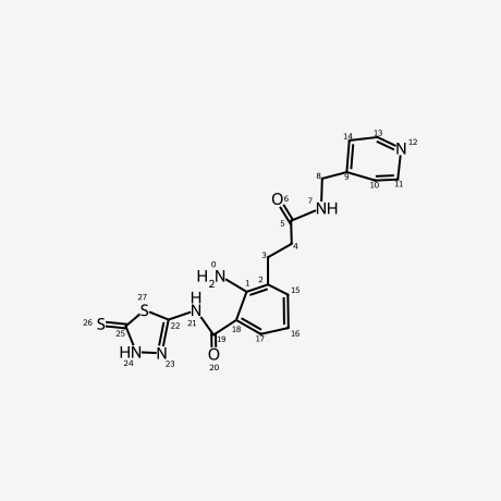 Nc1c(CCC(=O)NCc2ccncc2)cccc1C(=O)Nc1n[nH]c(=S)s1